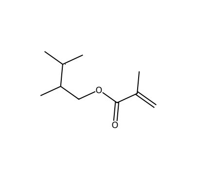 C=C(C)C(=O)OCC(C)[C](C)C